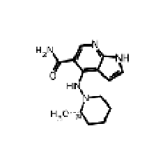 C[C@H]1CCCCN1Nc1c(C(N)=O)cnc2[nH]ccc12